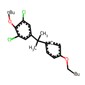 CCCCOc1c(Cl)cc(C(C)(C)c2ccc(OCC(C)CC)cc2)cc1Cl